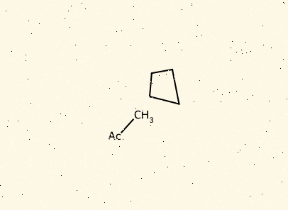 C1CCC1.CC(C)=O